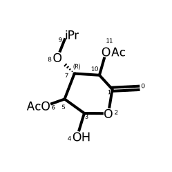 C=C1OC(O)C(OC(C)=O)[C@H](OC(C)C)C1OC(C)=O